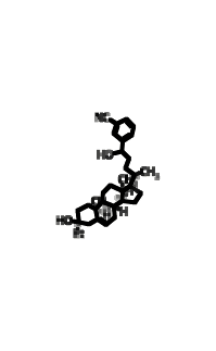 CC[C@]1(O)CC[C@@]2(C)C(=CC[C@H]3[C@@H]4CC[C@H]([C@H](C)CCC(O)c5cccc(C#N)c5)[C@@]4(C)CC[C@@H]32)C1